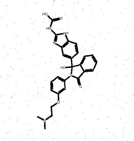 CN(C)CCOc1cccc(N2C(=O)c3ccccc3C2(O)c2ccc3[nH]c(NC(=O)O)nc3c2)c1